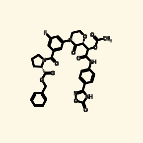 CC(=O)O[C@@H](C(=O)Nc1ccc(-c2noc(=O)[nH]2)cc1)[C@H]1OCCN(c2cc(F)cc(C(=O)N3CCC[C@H]3C(=O)OCc3ccccc3)c2)C1=O